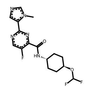 Cn1cncc1-c1ncc(F)c(C(=O)N[C@H]2CC[C@H](OC(F)F)CC2)n1